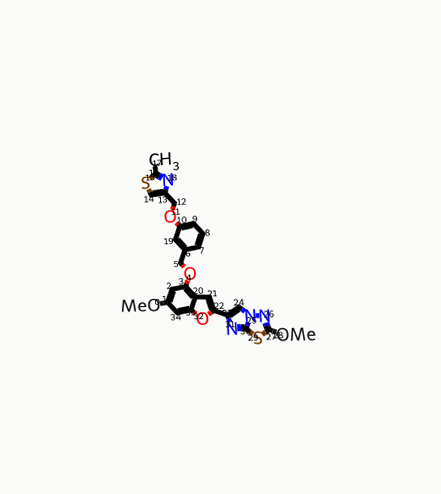 COc1cc(OCc2cccc(OCc3csc(C)n3)c2)c2cc(-c3cn4nc(OC)sc4n3)oc2c1